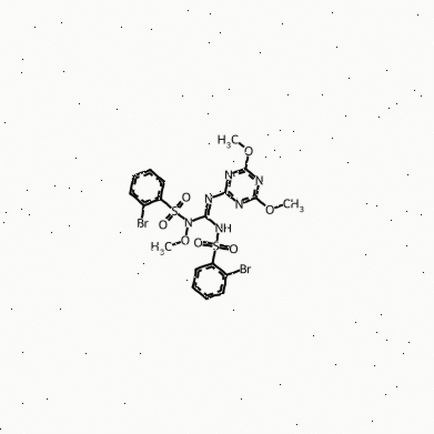 COc1nc(N=C(NS(=O)(=O)c2ccccc2Br)N(OC)S(=O)(=O)c2ccccc2Br)nc(OC)n1